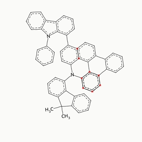 CC1(C)c2ccccc2-c2c(N(c3ccc(-c4cccc5c6ccccc6n(-c6ccccc6)c45)cc3)c3ccccc3-c3ccccc3-c3ccccc3-c3ccccc3)cccc21